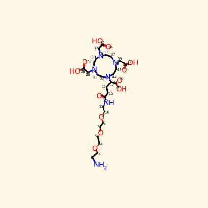 NCCOCCOCCOCCNC(=O)CCC(C(=O)O)N1CCN(CC(=O)O)CCN(CC(=O)O)CCN(CC(=O)O)CC1